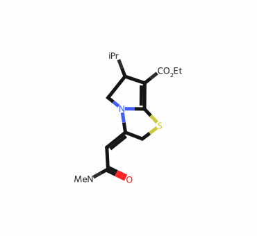 CCOC(=O)C1=C2SC/C(=C\C(=O)NC)N2CC1C(C)C